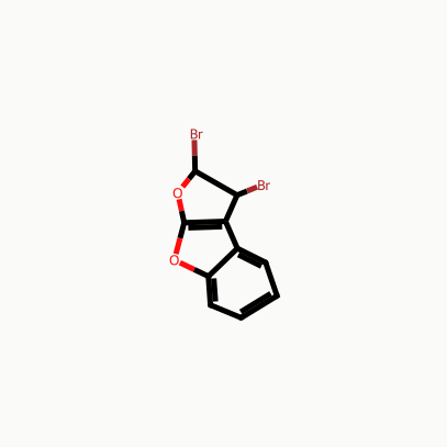 BrC1Oc2oc3ccccc3c2C1Br